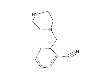 N#Cc1ccccc1CN1CCNCC1